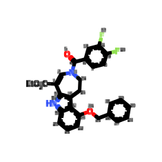 CCOC(=O)C1=CN(C(=O)c2ccc(F)c(F)c2)CCc2c1[nH]c1cccc(OCc3ccccc3)c21